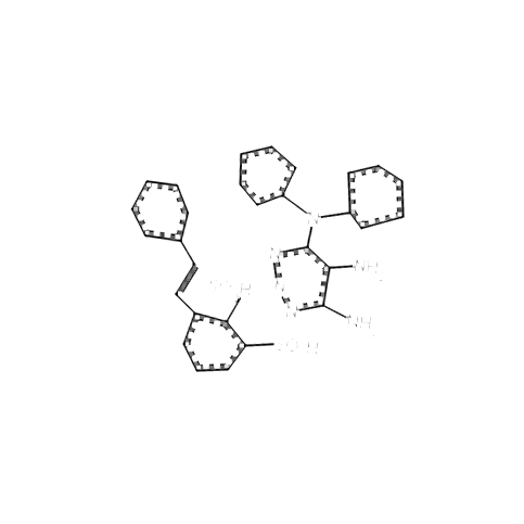 Nc1nnnc(N(c2ccccc2)c2ccccc2)c1N.O=S(=O)(O)c1cccc(C=Cc2ccccc2)c1S(=O)(=O)O